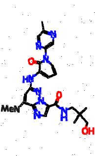 CNc1cc(Nc2cccn(-c3cnc(C)cn3)c2=O)nn2c(C(=O)NCC(C)(C)CO)cnc12